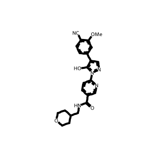 COc1cc(-c2cnn(-c3ccc(C(=O)NCC4CCOCC4)cn3)c2O)ccc1C#N